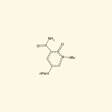 CCCCCc1cc(C(N)=O)c(=O)n(CCCC)c1